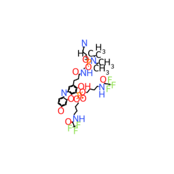 CC(C)N(C(C)C)P(OCCC#N)OCNC(=O)CCc1cc2nc3ccc(=O)cc-3oc2c(P(=O)(OCCCCNC(=O)C(F)(F)F)OCCCCNC(=O)C(F)(F)F)c1O